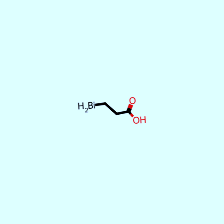 O=C(O)C[CH2][BiH2]